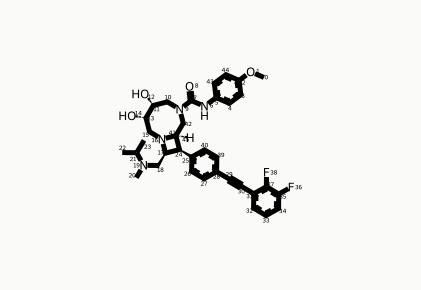 COc1ccc(NC(=O)N2C[C@@H](O)[C@@H](O)CN3[C@H](CN(C)C(C)C)[C@H](c4ccc(C#Cc5cccc(F)c5F)cc4)[C@@H]3C2)cc1